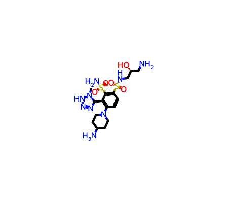 CN1NN=NC1c1c(N2CCC(N)CC2)ccc(S(=O)(=O)NC[C@H](O)CN)c1S(N)(=O)=O